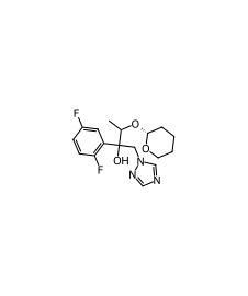 CC(O[C@@H]1CCCCO1)C(O)(Cn1cncn1)c1cc(F)ccc1F